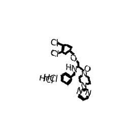 Cl.Cl.O=C(C(COCc1ccc(Cl)c(Cl)c1)NCc1ccccc1)N1CCN(c2ncccn2)CC1